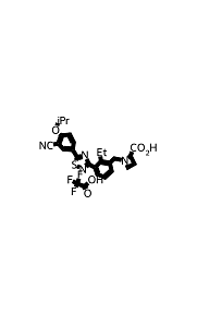 CCc1c(CN2CCC2C(=O)O)cccc1-c1nsc(-c2ccc(OC(C)C)c(C#N)c2)n1.O=C(O)C(F)(F)F